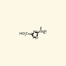 [CH3][SnH]([CH3])[c]1nc(C(=O)O)cs1